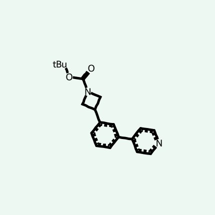 CC(C)(C)OC(=O)N1CC(c2cccc(-c3ccncc3)c2)C1